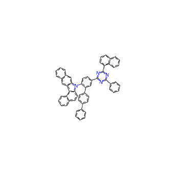 c1ccc(-c2ccc(-c3cc(-c4nc(-c5ccccc5)nc(-c5cccc6ccccc56)n4)ccc3-n3c4cc5ccccc5cc4c4c5ccccc5ccc43)cc2)cc1